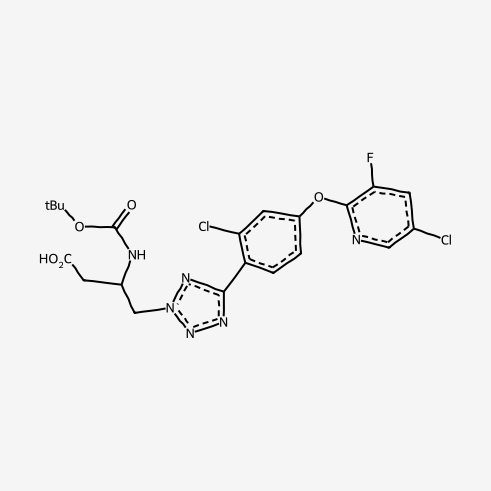 CC(C)(C)OC(=O)NC(CC(=O)O)Cn1nnc(-c2ccc(Oc3ncc(Cl)cc3F)cc2Cl)n1